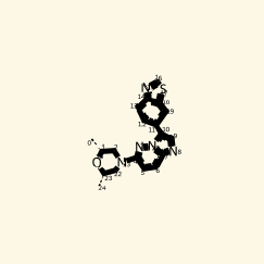 C[C@@H]1CN(c2ccc3ncc(-c4ccc5ncsc5c4)n3n2)C[C@H](C)O1